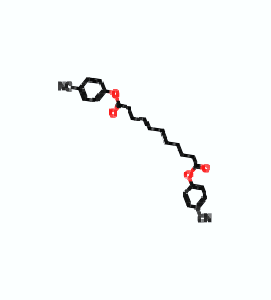 N#Cc1ccc(OC(=O)CCCCCCCCCC(=O)Oc2ccc(C#N)cc2)cc1